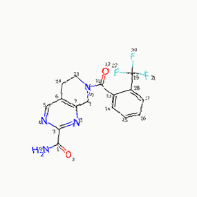 NC(=O)c1n[c]c2c(n1)CN(C(=O)c1ccccc1C(F)(F)F)CC2